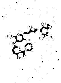 CC(/C=C/[C@H]1OC(C)(C)C[C@@]2(CO2)[C@@H]1O)=C\C[C@@H]1O[C@H](C)[C@H](NC(=O)/C=C\[C@H](C)OC(=O)N2CCSCC2)C[C@@H]1C